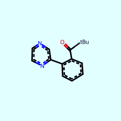 CC(C)(C)C(=O)c1ccccc1-c1cnccn1